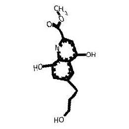 COC(=O)c1cc(O)c2cc(CCCO)cc(O)c2n1